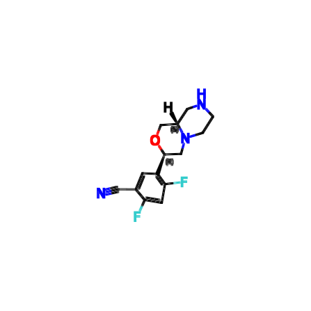 N#Cc1cc([C@@H]2CN3CCNC[C@H]3CO2)c(F)cc1F